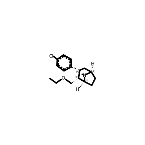 CCOC[C@@H]1[C@H](c2ccc(Cl)cc2)C[C@H]2CC[C@@H]1N2C